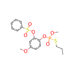 CCCSP(=O)(OC)Oc1ccc(OC)cc1OS(=O)(=O)c1ccccc1